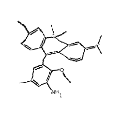 COc1c(N)cc(C)cc1C1=C2C=CC(=[N+](C)C)C=C2[Si](C)(C)c2cc(C)ccc21